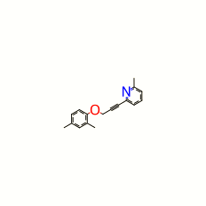 Cc1ccc(OCC#Cc2cccc(C)n2)c(C)c1